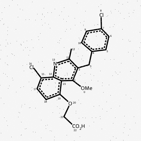 COc1c(Cc2ccc(Cl)cc2)c(C)nc2c(Cl)ccc(OCC(=O)O)c12